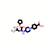 CC(C)C[C@H](NC1CCN(c2ccc(C(=O)O)cc2)CC1)C(=O)OC1CCCC1